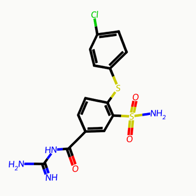 N=C(N)NC(=O)c1ccc(Sc2ccc(Cl)cc2)c(S(N)(=O)=O)c1